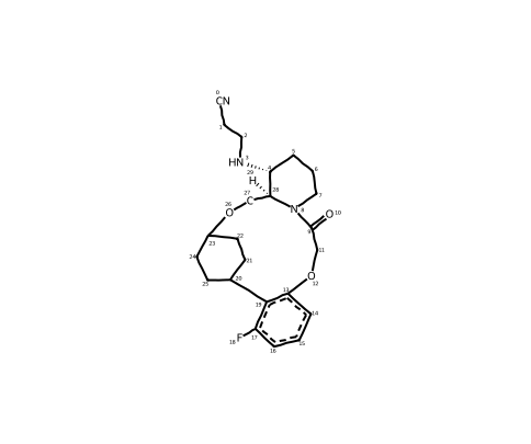 N#CCCN[C@@H]1CCCN2C(=O)COc3cccc(F)c3C3CCC(CC3)OC[C@@H]12